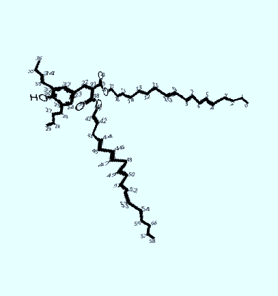 CCCCCCCCCCCCCCCCCCOC(=O)C(Cc1cc(CCCC)c(O)c(CCCC)c1)C(=O)OCCCCCCCCCCCCCCCCCC